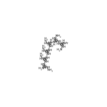 CCCNc1nc(NCCN)nc(NCCNc2nc(NCCN)nc(NCCNc3nc(NCCN)nc(NCCCNc4nc(NCCN)nc(NCCCNc5nc(NCCN)nc(NCCNc6nc(N)nc(NCCN)n6)n5)n4)n3)n2)n1